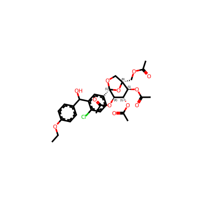 CCOc1ccc(C(O)c2cc([C@]34OC[C@](COC(C)=O)(O3)[C@@H](OC(C)=O)[C@H](OC(C)=O)[C@H]4OC(C)=O)ccc2Cl)cc1